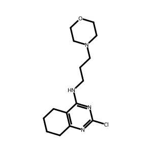 Clc1nc2c(c(NCCCN3CCOCC3)n1)CCCC2